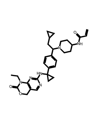 C=CC(=O)NC1CCN(C(CC2CC2)c2ccc(C3(Nc4ncc5c(n4)N(CC)C(=O)OC5)CC3)cc2)CC1